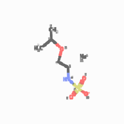 CC(C)OCCNS(=O)(=O)[O-].[Na+]